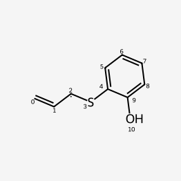 C=C[CH]Sc1ccccc1O